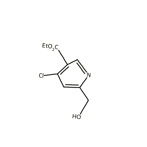 CCOC(=O)c1cnc(CO)cc1Cl